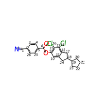 N#Cc1ccc(C(=O)Oc2cc3c(c(Cl)c2Cl)CC(C2CCCC2)C3)cc1